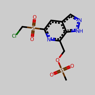 CS(=O)(=O)OCc1nc(S(=O)(=O)CCl)cc2cn[nH]c12